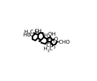 C[C@@H]1C[C@H](C=O)OC2C1[C@@]1(C)CC[C@@]34C[C@@]35CC[C@H](O)C(C)(C)[C@@H]5CC[C@H]4[C@]1(C)[C@H]2O